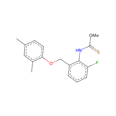 COC(=S)Nc1c(F)cccc1COc1ccc(C)cc1C